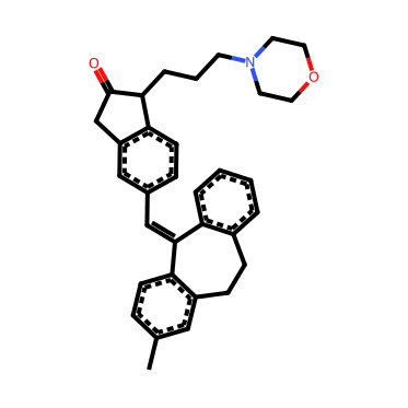 Cc1ccc2c(c1)CCc1ccccc1/C2=C\c1ccc2c(c1)CC(=O)C2CCCN1CCOCC1